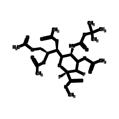 COC(=O)[C@@]1(F)OC([C@H](OC(C)=O)[C@@H](COC(C)=O)OC(C)=O)[C@H](NC(=O)OC(C)(C)C)C(OC(C)=O)C1F